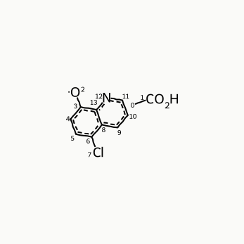 CC(=O)O.[O]c1ccc(Cl)c2cccnc12